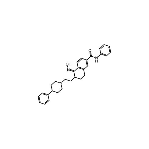 O=C(Nc1ccccc1)c1ccc2c(c1)CCC(CCN1CCC(c3ccccc3)CC1)C2=NO